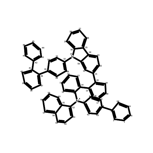 c1ccc(-c2ccc(N(c3ccccc3-c3ccccc3-c3ccc4c5ccccc5n(-c5ccc(-c6ccccc6-c6ccccc6)cc5)c4c3)c3cccc4ccccc34)cc2)cc1